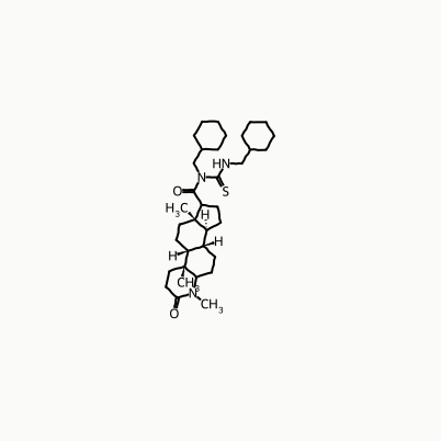 CN1C(=O)CC[C@@]2(C)C1CC[C@@H]1[C@H]2CC[C@]2(C)C(C(=O)N(CC3CCCCC3)C(=S)NCC3CCCCC3)CC[C@@H]12